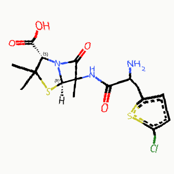 CC1(C)S[C@H]2N(C(=O)C2(C)NC(=O)C(N)c2ccc(Cl)s2)[C@H]1C(=O)O